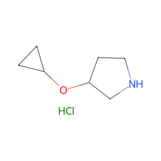 C1CC(OC2CC2)CN1.Cl